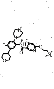 CN1CCN(c2cc(F)c(C3=CCOCC3)cc2NC(=O)c2cnc(OCC[Si](C)(C)C)cc2C(F)(F)F)CC1